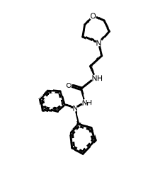 O=C(NCCN1CCOCC1)NN(c1ccccc1)c1ccccc1